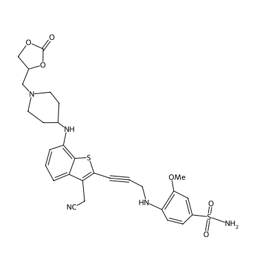 COc1cc(S(N)(=O)=O)ccc1NCC#Cc1sc2c(NC3CCN(CC4COC(=O)O4)CC3)cccc2c1CC#N